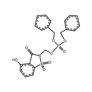 O=C1c2c(O)cccc2S(=O)(=O)N1COP(=O)(OCc1ccccc1)OCc1ccccc1